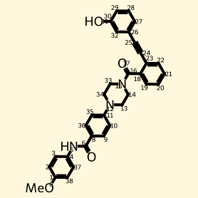 COc1ccc(NC(=O)c2ccc(N3CCN(C(=O)c4ccccc4C#Cc4cccc(O)c4)CC3)cc2)cc1